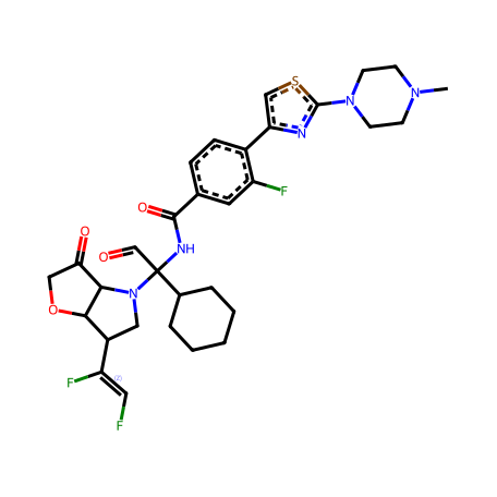 CN1CCN(c2nc(-c3ccc(C(=O)NC(C=O)(C4CCCCC4)N4CC(/C(F)=C/F)C5OCC(=O)C54)cc3F)cs2)CC1